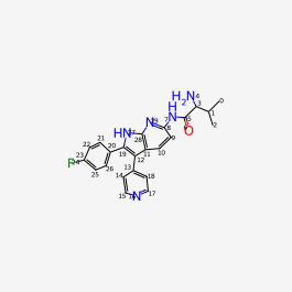 CC(C)C(N)C(=O)Nc1ccc2c(-c3ccncc3)c(-c3ccc(F)cc3)[nH]c2n1